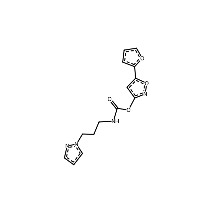 O=C(NCCCn1cccn1)Oc1cc(-c2ccco2)on1